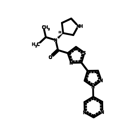 CC(C)N(C(=O)c1csc(-c2cnn(-c3cncnc3)c2)n1)[C@@H]1CCNC1